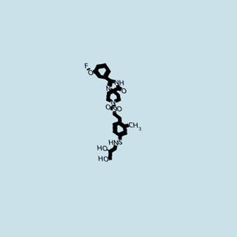 Cc1cc(SNC[C@@H](O)CO)ccc1CCS(=O)(=O)N1CCC2(CC1)N=C(c1cccc(OF)c1)NC2=O